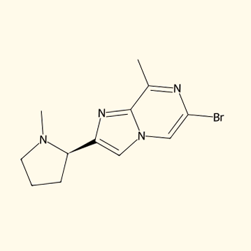 Cc1nc(Br)cn2cc([C@H]3CCCN3C)nc12